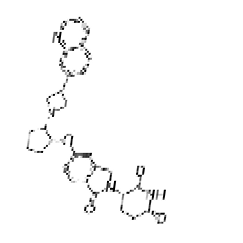 O=C1CCC(N2Cc3cc(OC4CCCC4N4CC(c5ccc6cccnc6c5)C4)ccc3C2=O)C(=O)N1